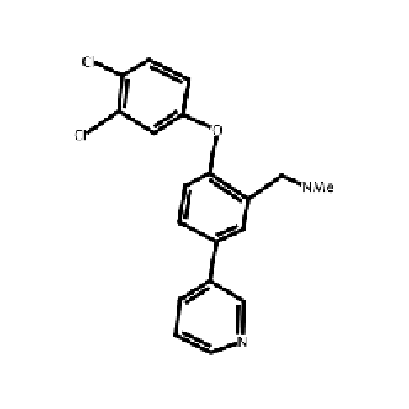 CNCc1cc(-c2cccnc2)ccc1Oc1ccc(Cl)c(Cl)c1